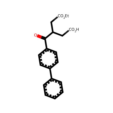 CCOC(=O)CC(CC(=O)O)C(=O)c1ccc(-c2ccccc2)cc1